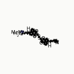 C=CN(/C=C\NC)CCCNc1ccc2c3c(cccc13)C(=O)N(CCSSCCN1C(=O)c3cccc4c(NCCCn5ccnc5)ccc(c34)C1=O)C2=O